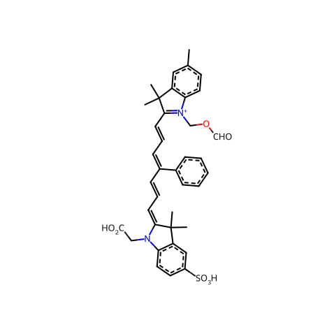 Cc1ccc2c(c1)C(C)(C)C(/C=C/C=C(/C=C/C=C1/N(CC(=O)O)c3ccc(S(=O)(=O)O)cc3C1(C)C)c1ccccc1)=[N+]2COC=O